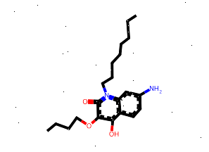 CCCCCCCCn1c(=O)c(OCCCC)c(O)c2ccc(N)cc21